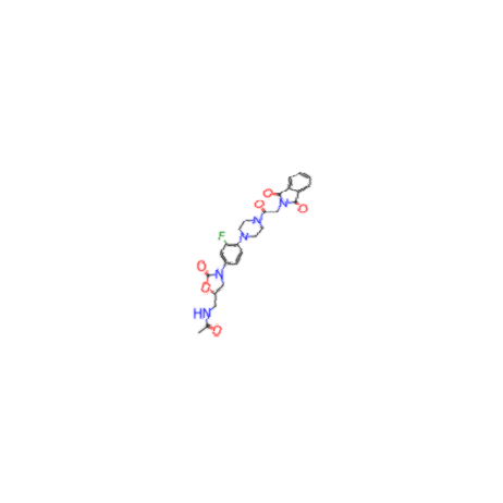 CC(=O)NCC1CN(c2ccc(N3CCN(C(=O)CN4C(=O)c5ccccc5C4=O)CC3)c(F)c2)C(=O)O1